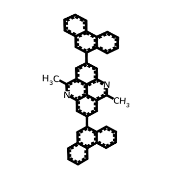 Cc1nc2cc(-c3cc4ccccc4c4ccccc34)cc3c(C)nc4cc(-c5cc6ccccc6c6ccccc56)cc1c4c23